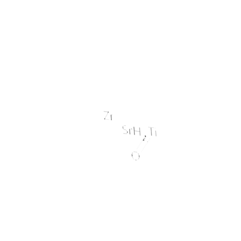 [O]=[Ti].[SrH2].[Zr]